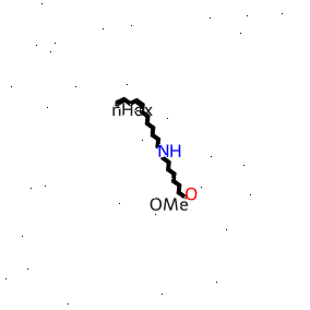 CCCCCC/C=C\C/C=C\CCCCCCCNCCCCCCCC(=O)OC